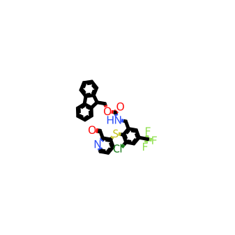 O=Cc1ncccc1Sc1c(Cl)cc(C(F)(F)F)cc1CNC(=O)OCC1c2ccccc2-c2ccccc21